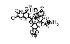 CCOc1c(-c2ccc3c(c2)OC(F)(F)O3)nc([C@@](O)(CNC(=O)c2cc(OC)c3nc(C)c(Cl)cc3c2)C2CC2)c(F)c1CC(N)=O